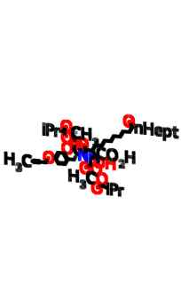 CC#CCOc1ccc(C[C@H](NC(=O)C(/C=C/CCCCCCC(=O)CCCCCCC)C(O)(CC(=O)O[C@H](C)OC(=O)C(C)C)C(=O)O)C(=O)O[C@@H](C)OC(=O)C(C)C)cc1